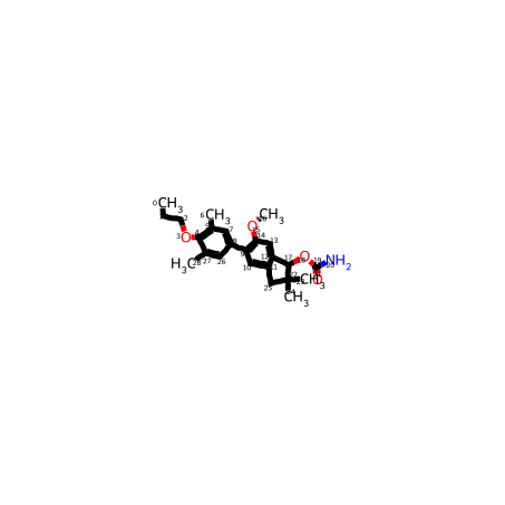 CCCOc1c(C)cc(-c2cc3c(cc2OC)C(OC(N)=O)C(C)(C)C3)cc1C